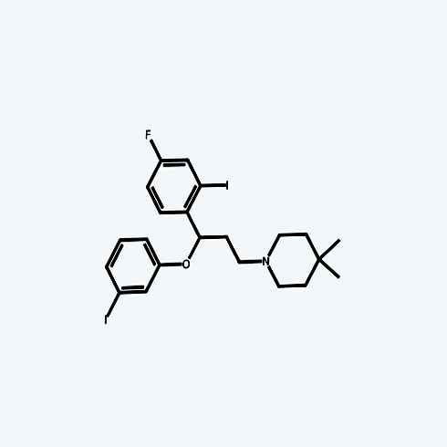 CC1(C)CCN(CCC(Oc2cccc(I)c2)c2ccc(F)cc2I)CC1